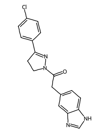 O=C(Cc1ccc2[nH]cnc2c1)N1CCC(c2ccc(Cl)cc2)=N1